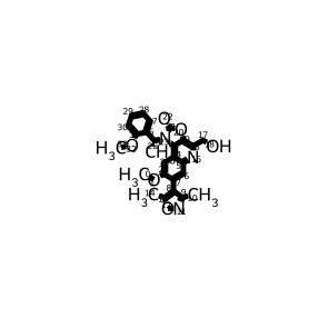 COc1cc2c(cc1-c1c(C)noc1C)nc(CO)c1oc(=O)n([C@H](C)c3ccccc3OC)c12